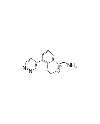 NC[C@H]1OCCc2c(-c3ccnnc3)cccc21